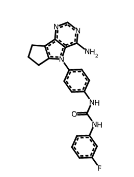 Nc1ncnc2c3c(n(-c4ccc(NC(=O)Nc5cccc(F)c5)cc4)c12)CCC3